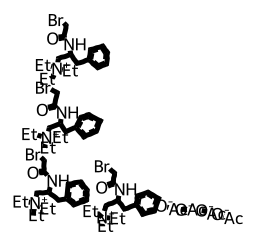 CC(=O)[O-].CC(=O)[O-].CC(=O)[O-].CC(=O)[O-].CC[N+](CC)(CC)CC(Cc1ccccc1)NC(=O)CBr.CC[N+](CC)(CC)CC(Cc1ccccc1)NC(=O)CBr.CC[N+](CC)(CC)CC(Cc1ccccc1)NC(=O)CBr.CC[N+](CC)(CC)CC(Cc1ccccc1)NC(=O)CBr